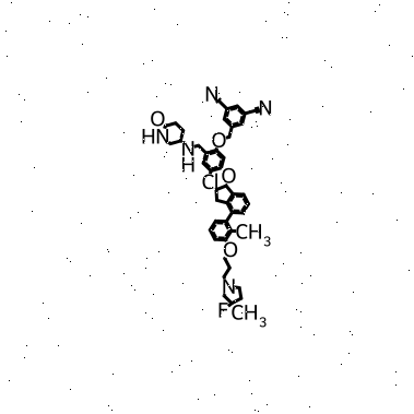 Cc1c(OCCCN2CCC(C)(F)C2)cccc1-c1cccc2c1CC[C@@H]2Oc1cc(OCc2cc(C#N)cc(C#N)c2)c(CN[C@H]2CCC(=O)NC2)cc1Cl